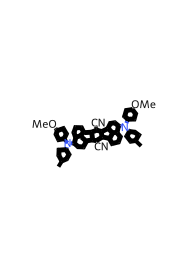 COc1ccc(N(c2ccc(C)cc2)c2ccc3c4c(C#N)c5c6cccc7c(N(c8ccc(C)cc8)c8ccc(OC)cc8)ccc(c5c(C#N)c4c4cccc2c43)c76)cc1